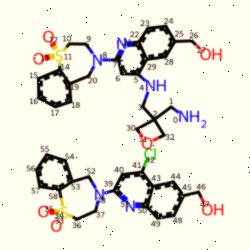 NCC1(CNc2cc(N3CCS(=O)(=O)c4ccccc4C3)nc3ccc(CO)cc23)COC1.O=S1(=O)CCN(c2cc(Cl)c3cc(CO)ccc3n2)Cc2ccccc21